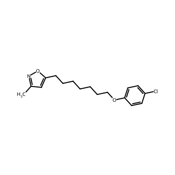 Cc1cc(CCCCCCCOc2ccc(Cl)cc2)on1